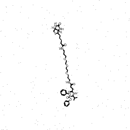 CC(C)C(NC(=O)CCC(=O)NCCCOCCOCCOCCCNC(=O)CCCCC1SC[C@@H]2NC(=O)N[C@H]12)P(=O)(Oc1ccccc1)Oc1ccccc1